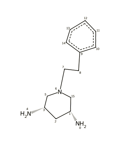 N[C@@H]1C[C@H](N)CN(CCc2ccccc2)C1